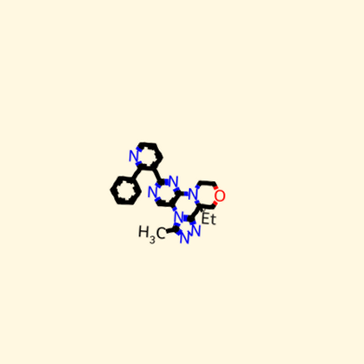 CC[C@]12COCCN1c1nc(-c3cccnc3-c3ccccc3)ncc1-n1c(C)nnc12